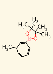 CC1C=CC=CC(B2OC(C)(C)C(C)(C)O2)=C1